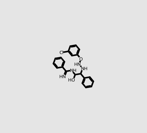 N=C(NC(O)C(NNOc1cccc(Cl)c1)c1ccccc1)c1ccccc1